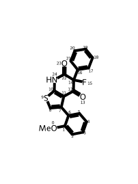 COc1ccccc1-c1csc2c1C(=O)C(F)(c1ccccc1)C(=O)N2